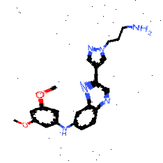 COc1cc(Nc2ccc3ncc(-c4cnn(CCCN)c4)nc3c2)cc(OC)c1